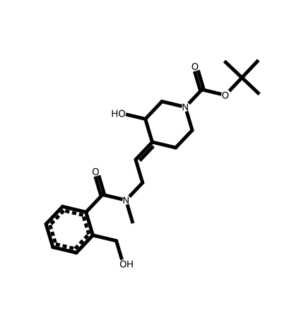 CN(C/C=C1\CCN(C(=O)OC(C)(C)C)CC1O)C(=O)c1ccccc1CO